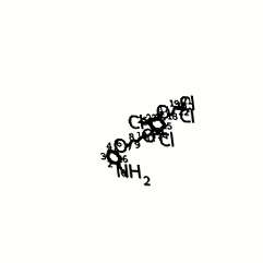 Nc1cccc(OCCCCOc2c(Cl)cc(OCC=C(Cl)Cl)cc2Cl)c1